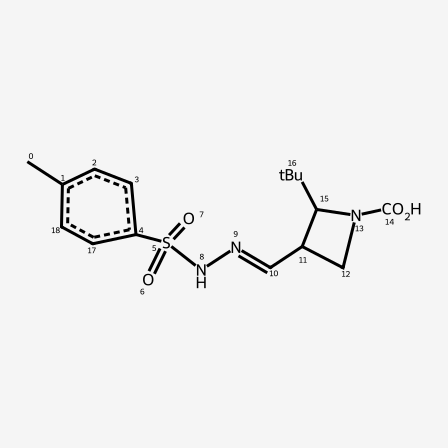 Cc1ccc(S(=O)(=O)NN=CC2CN(C(=O)O)C2C(C)(C)C)cc1